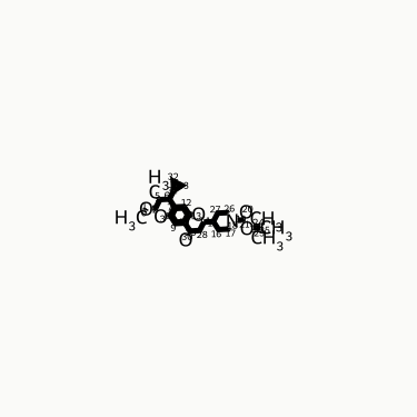 COC(=O)C(C)C(c1ccc2c(c1)OC(C1CCN(C(=O)OC(C)(C)C)CC1)CC2=O)C1CC1